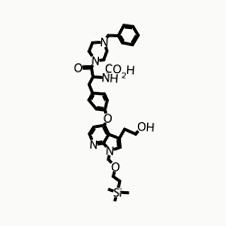 C[Si](C)(C)CCOCn1cc(CCO)c2c(Oc3ccc(CC(NC(=O)O)C(=O)N4CCN(Cc5ccccc5)CC4)cc3)ccnc21